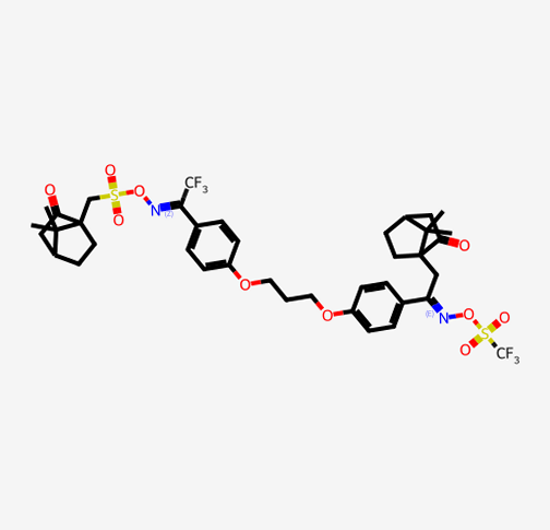 CC1(C)C2CCC1(C/C(=N\OS(=O)(=O)C(F)(F)F)c1ccc(OCCCOc3ccc(/C(=N/OS(=O)(=O)CC45CCC(CC4=O)C5(C)C)C(F)(F)F)cc3)cc1)C(=O)C2